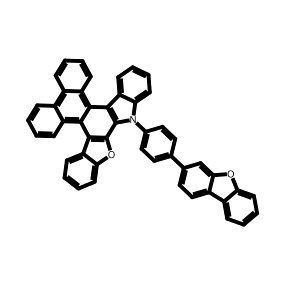 c1ccc2c(c1)oc1cc(-c3ccc(-n4c5ccccc5c5c6c7ccccc7c7ccccc7c6c6c7ccccc7oc6c54)cc3)ccc12